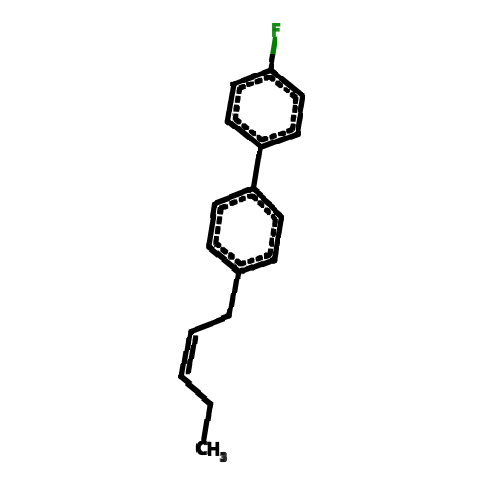 CC/C=C\Cc1ccc(-c2ccc(F)cc2)cc1